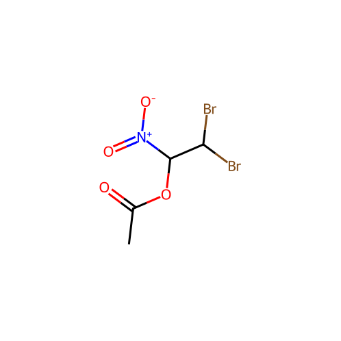 CC(=O)OC(C(Br)Br)[N+](=O)[O-]